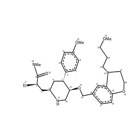 CC[C@H](C[C@H]1C[C@H](c2ccc(OC)cc2)[C@@H](OCc2ccc3c(c2)N(CCCOC)CCO3)CN1)C(=O)NC